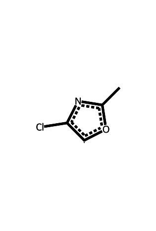 Cc1nc(Cl)[c]o1